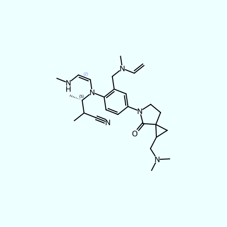 C=CN(C)Cc1cc(N2CCC3(CC3CN(C)C)C2=O)ccc1N(/C=C\NC)[C@@H](C)C(C)C#N